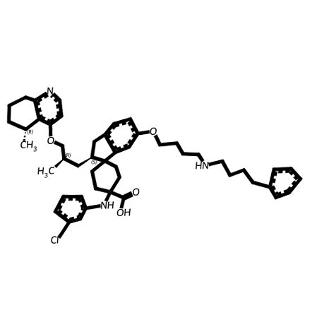 C[C@@H](COc1ccnc2c1[C@H](C)CCC2)C[C@H]1Cc2ccc(OCCCCNCCCCc3ccccc3)cc2C12CCC(Nc1cccc(Cl)c1)(C(=O)O)CC2